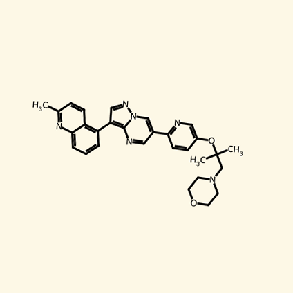 Cc1ccc2c(-c3cnn4cc(-c5ccc(OC(C)(C)CN6CCOCC6)cn5)cnc34)cccc2n1